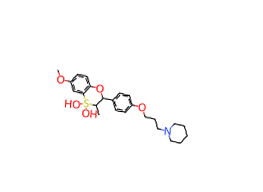 COc1ccc2c(c1)S(O)(O)C(C)C(c1ccc(OCCCN3CCCCC3)cc1)O2